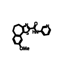 COc1ccc2c(c1)-c1sc(C(=O)Nc3cccnc3)nc1CCC2